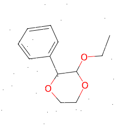 CCOC1OCCO[C]1c1ccccc1